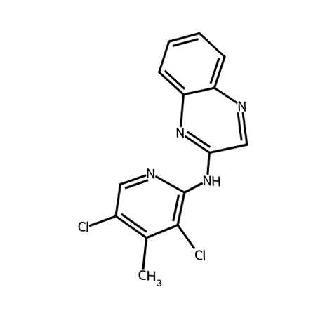 Cc1c(Cl)cnc(Nc2cnc3ccccc3n2)c1Cl